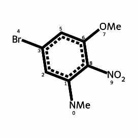 CNc1cc(Br)cc(OC)c1[N+](=O)[O-]